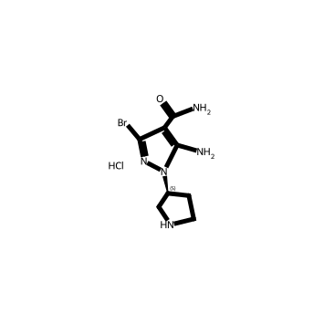 Cl.NC(=O)c1c(Br)nn([C@H]2CCNC2)c1N